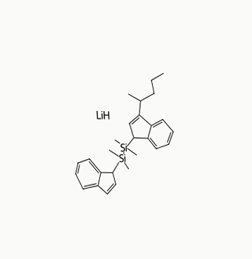 CCCC(C)C1=CC([Si](C)(C)[Si](C)(C)C2C=Cc3ccccc32)c2ccccc21.[LiH]